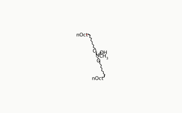 CCCCCCCC/C=C\CCCCCCCCOCCN(CCOCCCCCCCC/C=C\CCCCCCCC)C(C)CO